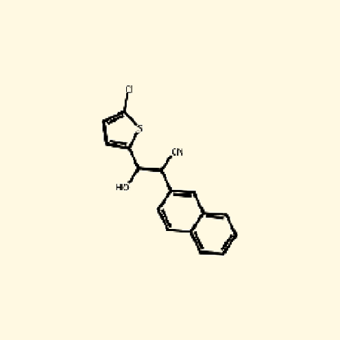 N#CC(c1ccc2ccccc2c1)C(O)c1ccc(Cl)s1